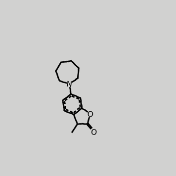 CC1C(=O)Oc2cc(N3CCCCCC3)ccc21